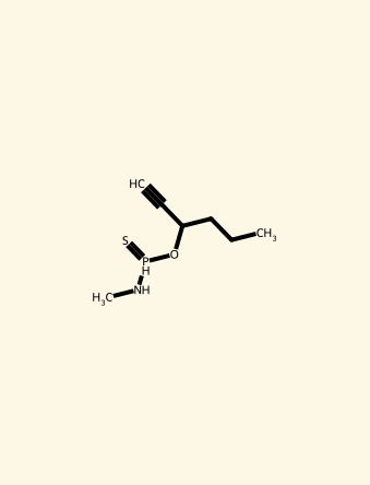 C#CC(CCC)O[PH](=S)NC